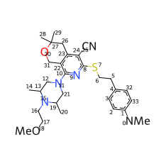 CNc1ccc(CCSc2nc(N3CC(C)N(CCOC)C(C)C3)c3c(c2C#N)CC(C)(C)OC3)cc1